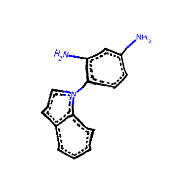 Nc1ccc(-n2ccc3ccccc32)c(N)c1